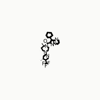 C[C@@H]1C=C(N2CC[C@@H](C)N(C(=O)c3nn4cccnc4c3-c3ccccc3)CC2)N=CC1C(F)(F)F